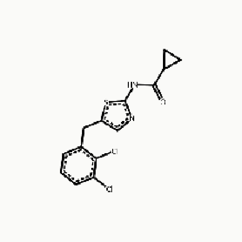 O=C(Nc1ncc(Cc2cccc(Cl)c2Cl)s1)C1CC1